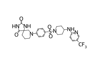 O=C1NC(=O)C2(CCCN(c3ccc(S(=O)(=O)N4CCC(Nc5ccc(C(F)(F)F)cn5)CC4)cc3)C2)N1